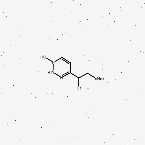 CCCCCCCC(CC)C1=NNN(O)C=C1